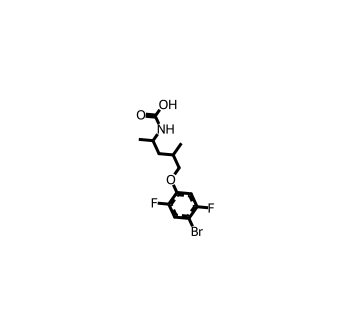 CC(COc1cc(F)c(Br)cc1F)CC(C)NC(=O)O